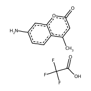 Cc1cc(=O)oc2cc(N)ccc12.O=C(O)C(F)(F)F